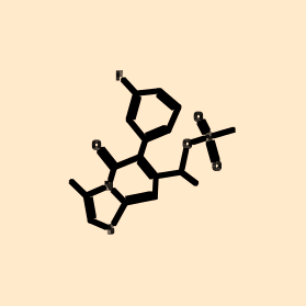 Cc1csc2cc(C(C)OS(C)(=O)=O)c(-c3cccc(F)c3)c(=O)n12